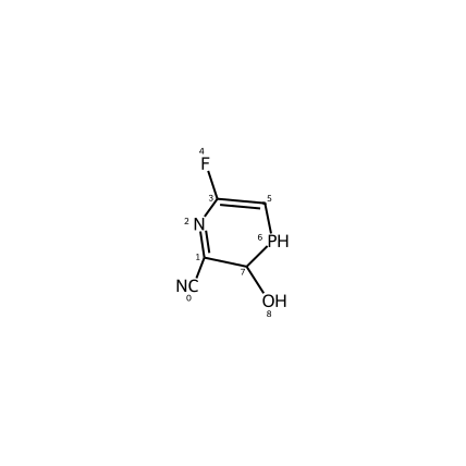 N#CC1=NC(F)=CPC1O